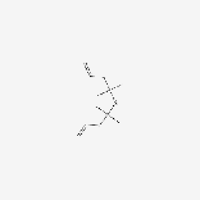 C=CCC(C)(C)SC(C)(C)CC=C